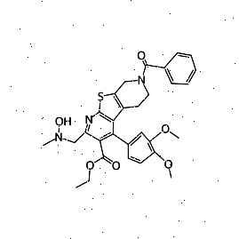 CCOC(=O)c1c(CN(C)O)nc2sc3c(c2c1-c1ccc(OC)c(OC)c1)CCN(C(=O)c1ccccc1)C3